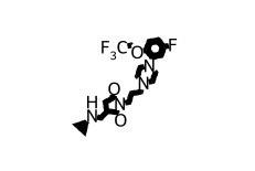 O=C1CC(CNC2CC2)C(=O)N1CCCN1CCN(c2cc(F)ccc2OCC(F)(F)F)CC1